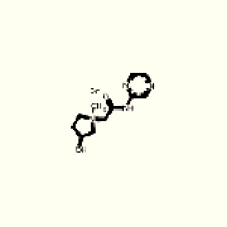 C[N@@+]1(CC(=O)Nc2cnccn2)CCC(O)C1.[Br-]